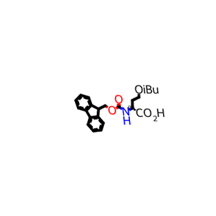 CC(C)COCC[C@H](NC(=O)OCC1c2ccccc2-c2ccccc21)C(=O)O